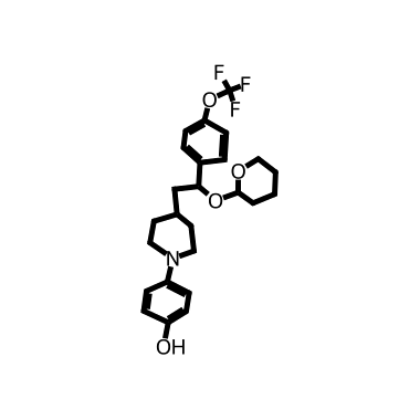 Oc1ccc(N2CCC(CC(OC3CCCCO3)c3ccc(OC(F)(F)F)cc3)CC2)cc1